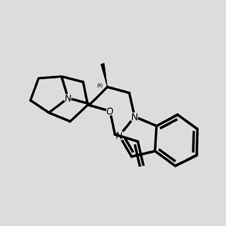 C=CCOC1CC2CCC(C1)N2C[C@@H](C)Cn1ncc2ccccc21